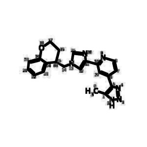 Cc1[nH]nnc1-c1ccnc(-c2cn(C[C@@H]3CCOc4ccccc43)cn2)c1